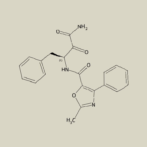 Cc1nc(-c2ccccc2)c(C(=O)N[C@@H](Cc2ccccc2)C(=O)C(N)=O)o1